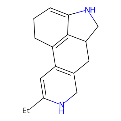 CCC1=CC2=C(CN1)CC1CNC3=CCCC2=C31